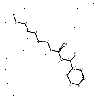 CCCCCCC[CH]C(=O)OC(C)C1CCCCC1